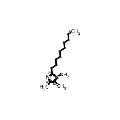 CCCCCCCCCCc1nc(C)c(C)n1N